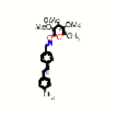 CO[C@@H]1[C@@H](OC)[C@H](C)O[C@@H](ON=Cc2ccc(/C=C/c3ccc(C(F)(F)F)cc3)cc2)[C@@H]1OC